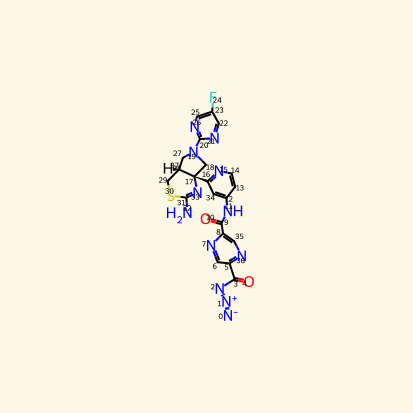 [N-]=[N+]=NC(=O)c1cnc(C(=O)Nc2ccnc([C@]34CN(c5ncc(F)cn5)C[C@H]3CSC(N)=N4)c2)cn1